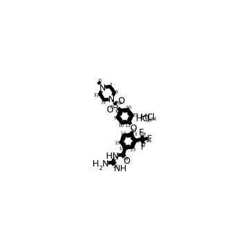 CN1CCN(S(=O)(=O)c2ccc(Oc3ccc(C(=O)NC(=N)N)cc3C(F)(F)F)cc2)CC1.Cl.Cl